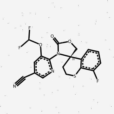 N#Cc1cnc(N2C(=O)OC[C@@]23CCSc2c(F)cccc23)c(OC(F)F)c1